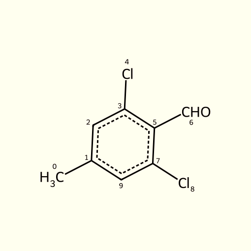 Cc1cc(Cl)c(C=O)c(Cl)c1